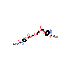 COC(=O)Nc1ccc(OCC(=O)OCCOCCOC(=O)COc2ccc(NC(=O)OC)cc2)cc1